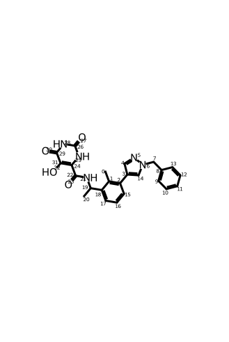 Cc1c(-c2cnn(Cc3ccccc3)c2)cccc1C(C)NC(=O)c1[nH]c(=O)[nH]c(=O)c1O